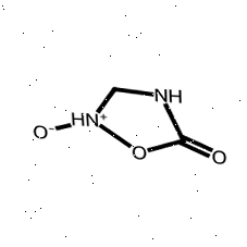 O=C1NC[NH+]([O-])O1